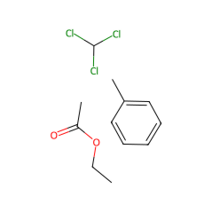 CCOC(C)=O.Cc1ccccc1.ClC(Cl)Cl